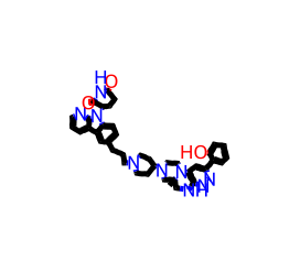 CC12CNc3nnc(-c4ccccc4O)cc3N1CCN(C1CCN(CCCc3ccc4c(c3)c3cccnc3n4C3CCC(=O)NC3=O)CC1)C2